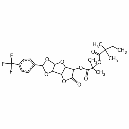 CCC(C)(C)C(=O)OC(C)(C)C(=O)OC1C(=O)OC2C3OC(c4ccc(C(F)(F)F)cc4)OC3OC12